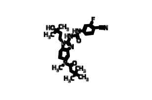 CN(C(=O)CC(C)(C)C)c1ccc2c(c1)nc(NC(=O)Nc1ccc(C#N)c(F)c1)n2CCC(C)(C)O